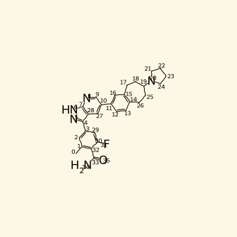 Cc1cc(-c2n[nH]c3ncc(-c4ccc5c(c4)CCC(N4CCCC4)CC5)cc23)cc(F)c1C(N)=O